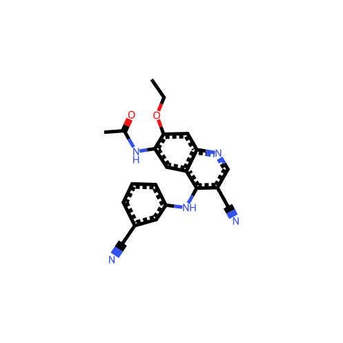 CCOc1cc2ncc(C#N)c(Nc3cccc(C#N)c3)c2cc1NC(C)=O